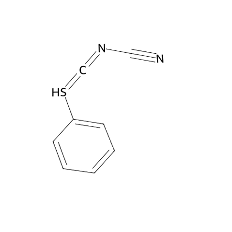 N#CN=C=[SH]c1ccccc1